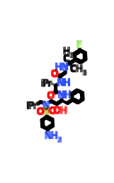 CC(C)CN(C[C@@H](O)[C@H](Cc1ccccc1)NC(=O)[C@@H](NC(=O)CNC(C)(C)c1cccc(F)c1)C(C)C)S(=O)(=O)c1ccc(N)cc1